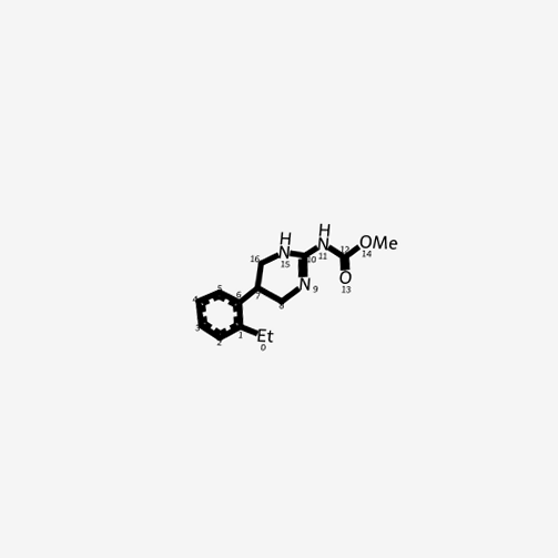 CCc1ccccc1C1CN=C(NC(=O)OC)NC1